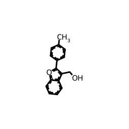 Cc1ccc(-c2oc3ccccc3c2CO)cc1